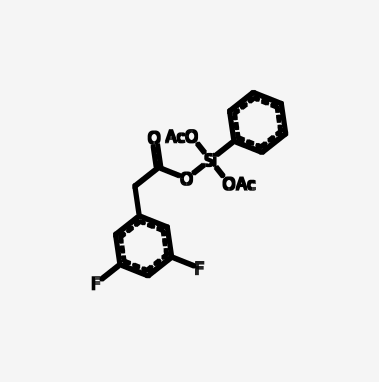 CC(=O)O[Si](OC(C)=O)(OC(=O)Cc1cc(F)cc(F)c1)c1ccccc1